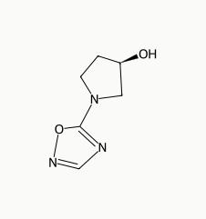 O[C@@H]1CCN(c2ncno2)C1